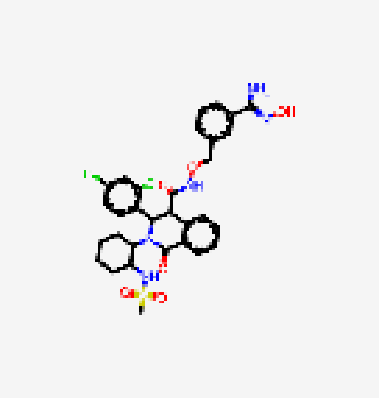 CS(=O)(=O)NC1CCCCC1N1C(=O)c2ccccc2C(C(=O)NOCc2cccc(C(N)=NO)c2)C1c1ccc(Cl)cc1Cl